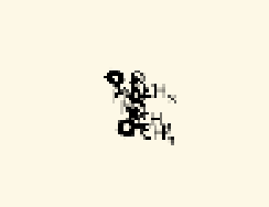 CC(C)c1ccccc1-c1ncc2c(n1)N(C(I)c1ccccc1)C(C=O)N2C